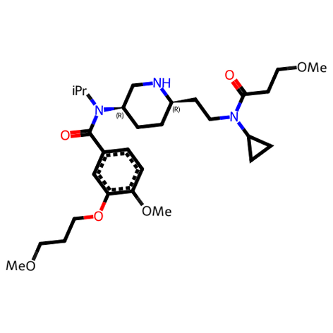 COCCCOc1cc(C(=O)N(C(C)C)[C@@H]2CC[C@H](CCN(C(=O)CCOC)C3CC3)NC2)ccc1OC